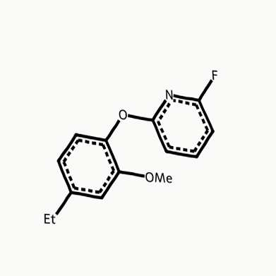 CCc1ccc(Oc2cccc(F)n2)c(OC)c1